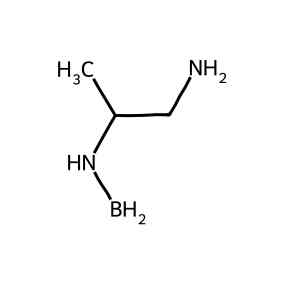 BNC(C)CN